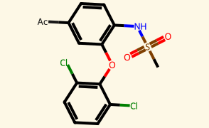 CC(=O)c1ccc(NS(C)(=O)=O)c(Oc2c(Cl)cccc2Cl)c1